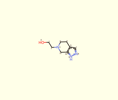 OCCN1CCc2cn[nH]c2C1